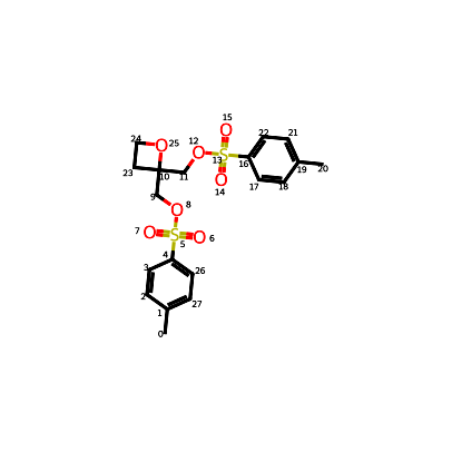 Cc1ccc(S(=O)(=O)OCC2(COS(=O)(=O)c3ccc(C)cc3)CCO2)cc1